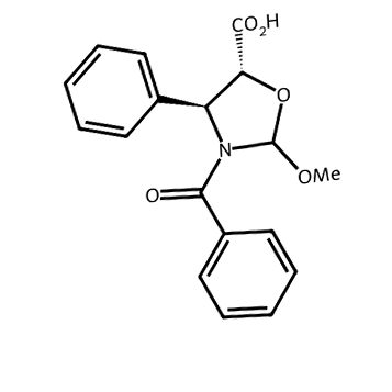 COC1O[C@@H](C(=O)O)[C@H](c2ccccc2)N1C(=O)c1ccccc1